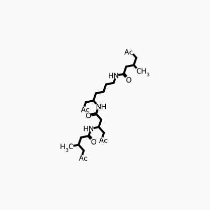 CC(=O)CC(C)CC(=O)NCCCCC(CC(C)=O)NC(=O)CC(CC(C)=O)NC(=O)CC(C)CC(C)=O